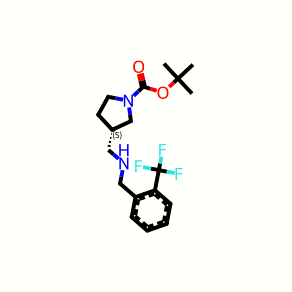 CC(C)(C)OC(=O)N1CC[C@@H](CNCc2ccccc2C(F)(F)F)C1